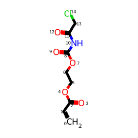 C=CC(=O)OCCOC(=O)NC(=O)CCl